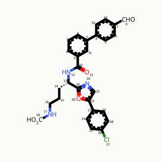 O=Cc1ccc(-c2cccc(C(=O)N[C@@H](CCCNC(=O)O)c3ncc(-c4ccc(Cl)cc4)o3)c2)cc1